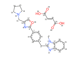 Cn1c(Cc2ccc(-c3nc(CN4CCCC4)co3)cc2)nc2ccccc21.O=C(O)C=CC(=O)O